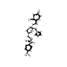 Cc1ccc(S(=O)(=O)OC[C@H]2CO[C@@](CCc3ccc(Cl)cc3Cl)(Cn3ccnc3)O2)cc1